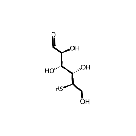 O=C[C@@H](O)[C@@H](O)[C@H](O)[C@H](S)CO